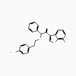 COc1ccc(CCNC(C(=O)c2c[nH]c3c(Cl)cccc23)c2ccccc2)cc1